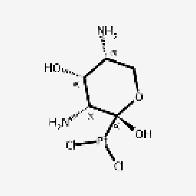 N[C@@H]1CO[C@](O)([Pt]([Cl])[Cl])[C@H](N)[C@@H]1O